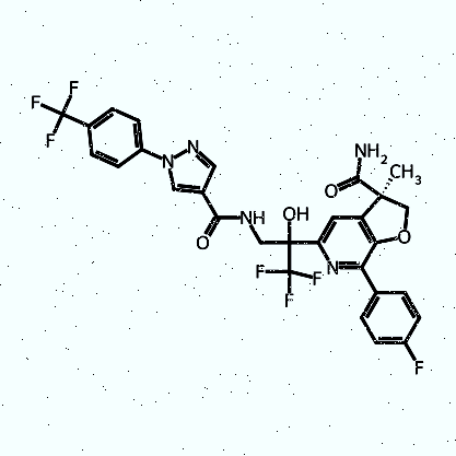 C[C@]1(C(N)=O)COc2c1cc(C(O)(CNC(=O)c1cnn(-c3ccc(C(F)(F)F)cc3)c1)C(F)(F)F)nc2-c1ccc(F)cc1